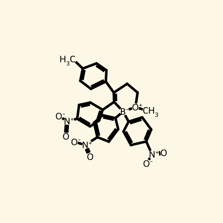 Cc1ccc(C2=C(c3ccc([N+](=O)[O-])cc3)[B-](c3ccc([N+](=O)[O-])cc3)(c3ccc([N+](=O)[O-])cc3)[O+](C)CC2)cc1